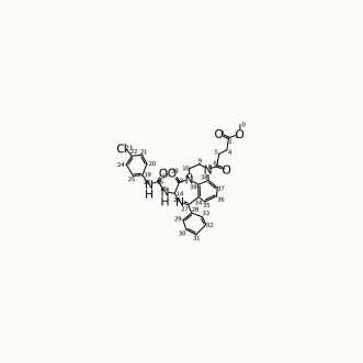 COC(=O)CCC(=O)N1CCN2C(=O)C(NC(=O)Nc3ccc(Cl)cc3)N=C(c3ccccc3)c3cccc1c32